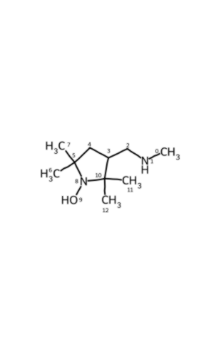 CNCC1CC(C)(C)N(O)C1(C)C